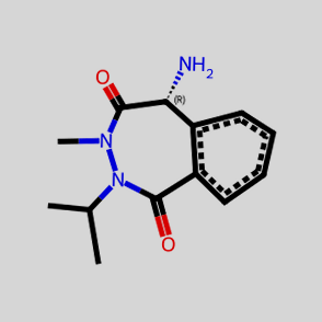 CC(C)N1C(=O)c2ccccc2[C@@H](N)C(=O)N1C